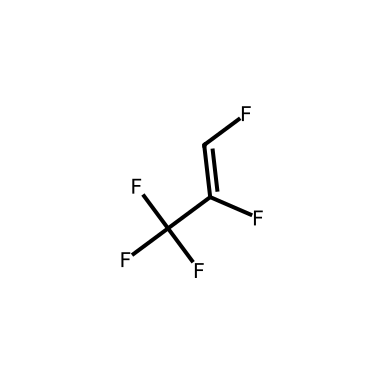 FC=C(F)C(F)(F)F